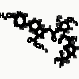 CC(=O)c1nn(CC(=O)N2[C@H](I)[C@@H](C)C[C@H]2C(=O)Nc2ccn(CC(F)(F)F)n2)c2ccc(-c3cnc(C)nc3)cc12